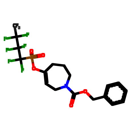 O=C(OCc1ccccc1)N1CC=C(OS(=O)(=O)C(F)(F)C(F)(F)C(F)(F)C(F)(F)F)CCC1